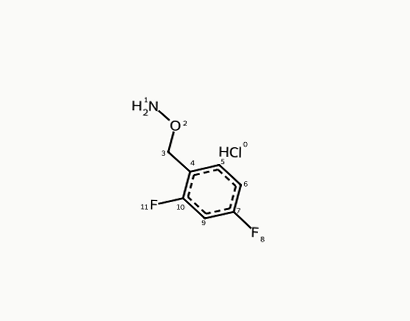 Cl.NOCc1ccc(F)cc1F